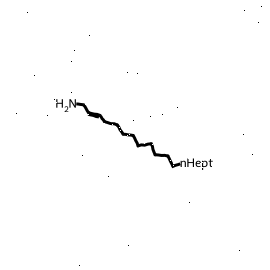 CCCCCCCCCCCCCCCCC=CCN